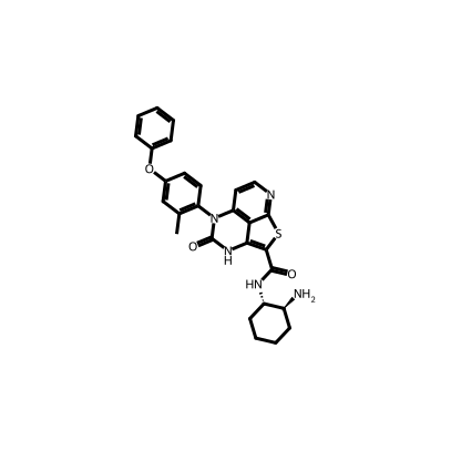 Cc1cc(Oc2ccccc2)ccc1N1C(=O)Nc2c(C(=O)N[C@H]3CCCC[C@@H]3N)sc3nccc1c23